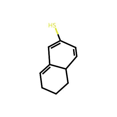 SC1=CC2=CCCCC2C=C1